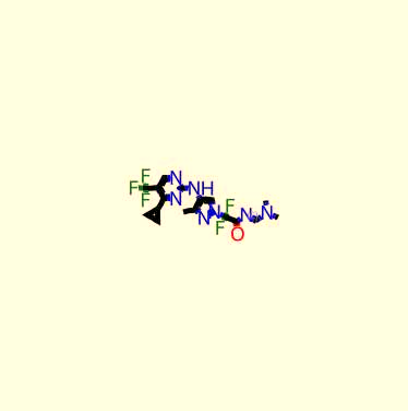 Cc1nn(C(F)(F)C(=O)/N=C/N(C)C)cc1Nc1ncc(C(F)(F)F)c(C2CC2)n1